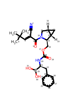 CC(C)(C)C=C(C#N)C(=O)N1C[C@@H]2C[C@@H]2[C@H]1COC(=O)N[C@@H](Cc1ccccc1)B(O)O